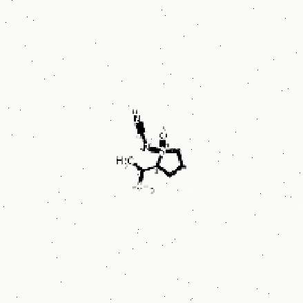 CC(C)[C@@H]1CCCS1(=O)=NC#N